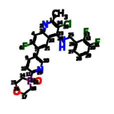 Cc1nc2cc(F)c(-c3ccc(P4(=O)CCOCC4)nc3)cc2c(NCc2cccc(F)c2F)c1Cl